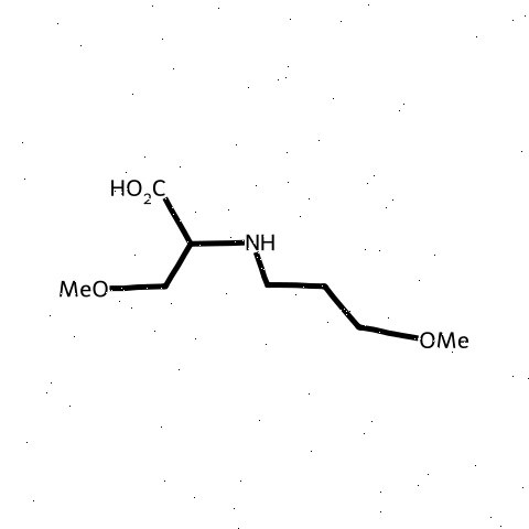 COCCCNC(COC)C(=O)O